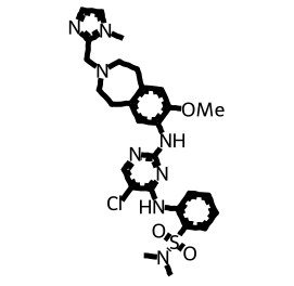 COc1cc2c(cc1Nc1ncc(Cl)c(Nc3ccccc3S(=O)(=O)N(C)C)n1)CCN(Cc1nccn1C)CC2